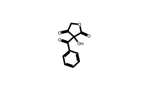 O=C1COC(=O)C1(O)C(=O)c1ccccc1